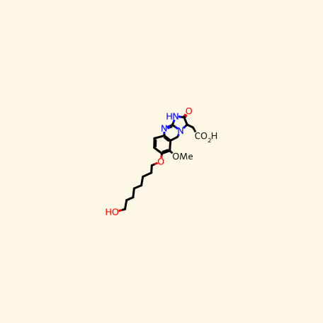 COc1c(OCCCCCCCCO)ccc2c1CN1C(=N2)NC(=O)C1CC(=O)O